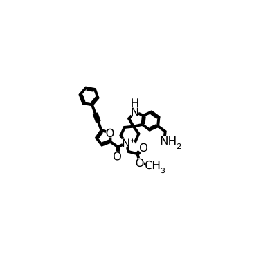 COC(=O)C[N+]1(C(=O)c2ccc(C#Cc3ccccc3)o2)CCC2(CC1)CNc1ccc(CN)cc12